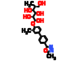 Cc1nnc(-c2ccc(-c3ccc(OC(O)C(O)C(O)C(O)C(C)CO)c(C)c3)cc2)o1